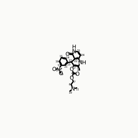 CC1=C(OC(=O)OCCN(C)C)C(c2cccc([N+](=O)[O-])c2)c2c(cc[nH]c2=O)N1